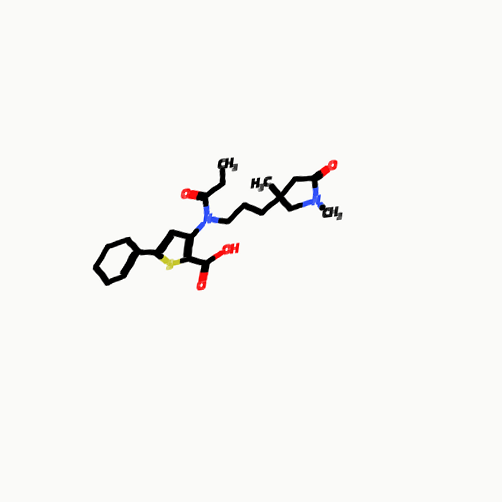 CCC(=O)N(CCCC1(C)CC(=O)N(C)C1)c1cc(C2=CCCCC2)sc1C(=O)O